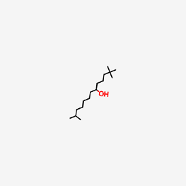 CC(C)CCCCC[C@H](O)CCCC(C)(C)C